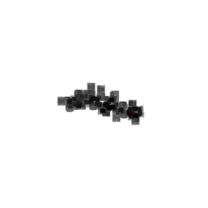 CN1[C@@H]2CC[C@H]1C[C@@H](OC(=O)Nc1nc(Cl)nc3c1ncn3C1OC(CNP(=O)(O)CP(=O)(O)O)C(O)C1O)C2